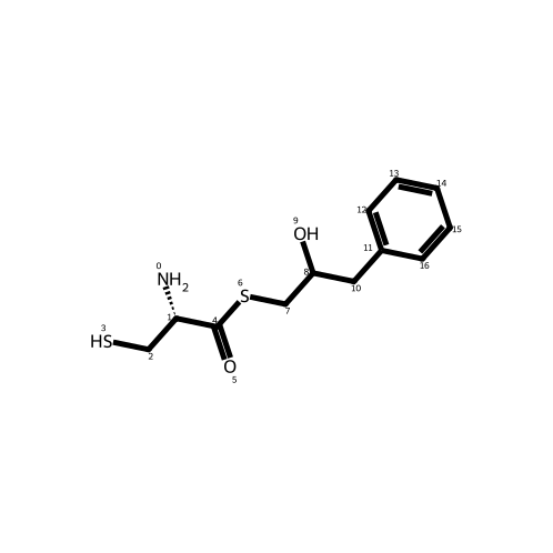 N[C@@H](CS)C(=O)SCC(O)Cc1ccccc1